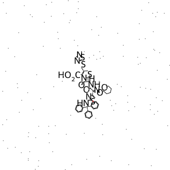 O=C(O)C1=C(CSc2ncns2)CS[C@H]2C(NC(=O)C(=NOC3CCCCO3)c3csc(NC(c4ccccc4)(c4ccccc4)c4ccccc4)n3)C(=O)N12